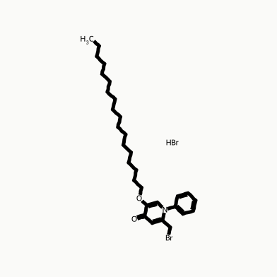 Br.CCCCCCCCCCCCCCCCCCOc1cn(-c2ccccc2)c(CBr)cc1=O